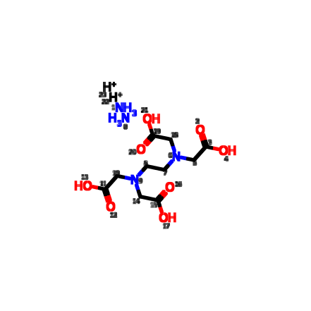 N.N.O=C(O)CN(CCN(CC(=O)O)CC(=O)O)CC(=O)O.[H+].[H+]